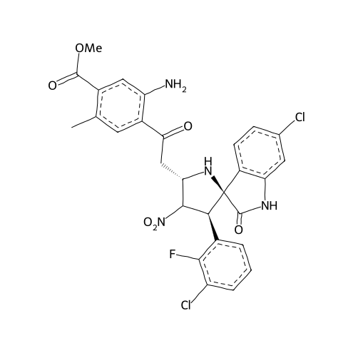 COC(=O)c1cc(N)c(C(=O)C[C@@H]2N[C@@]3(C(=O)Nc4cc(Cl)ccc43)[C@@H](c3cccc(Cl)c3F)C2[N+](=O)[O-])cc1C